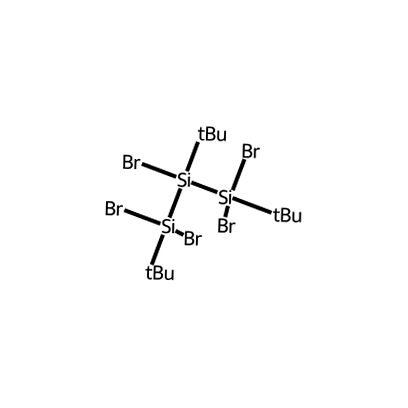 CC(C)(C)[Si](Br)(Br)[Si](Br)(C(C)(C)C)[Si](Br)(Br)C(C)(C)C